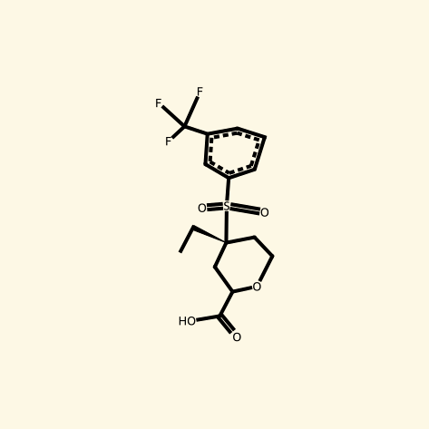 CC[C@@]1(S(=O)(=O)c2cccc(C(F)(F)F)c2)CCOC(C(=O)O)C1